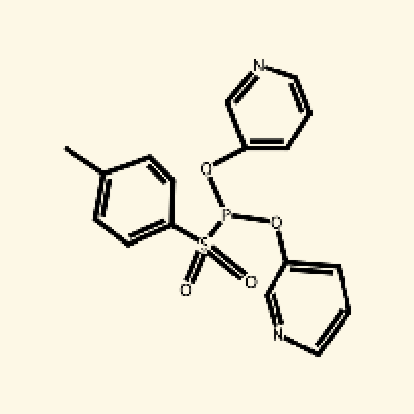 Cc1ccc(S(=O)(=O)P(Oc2cccnc2)Oc2cccnc2)cc1